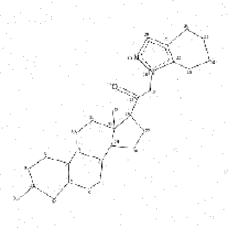 CC1CCC2C(CCC3C2CCC2(C)C(C(=O)Cn4ncc5c4CCCC5)CCC32)C1